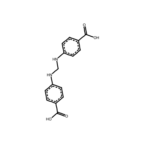 O=C(O)c1ccc(NCNc2ccc(C(=O)O)cc2)cc1